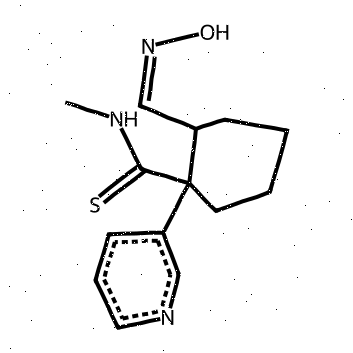 CNC(=S)C1(c2cccnc2)CCCCC1/C=N\O